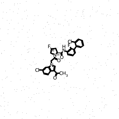 CC(=O)c1cn(CC(=O)N2C[C@H](F)C[C@H]2C(=O)Nc2cccc(-c3ccccc3Cl)c2F)c2cc(Cl)ccc12